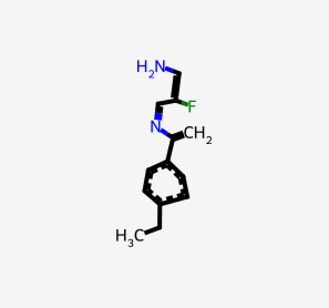 C=C(/N=C\C(F)=C/N)c1ccc(CC)cc1